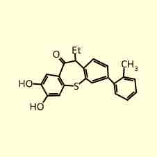 CCC1C(=O)c2cc(O)c(O)cc2Sc2cc(-c3ccccc3C)ccc21